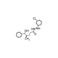 C=C(CCC(=O)NNc1cccc(Cl)c1)C(O)c1ccccc1